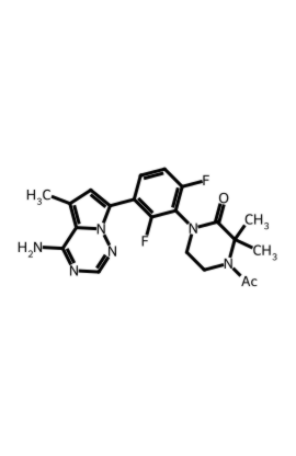 CC(=O)N1CCN(c2c(F)ccc(-c3cc(C)c4c(N)ncnn34)c2F)C(=O)C1(C)C